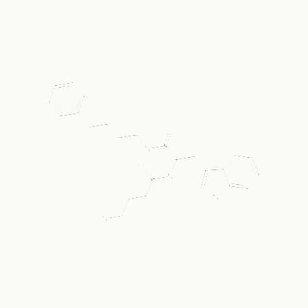 NCCCC(=O)NC(Cc1c[nH]c2ccccc12)C(=O)NCCCCc1ccccc1